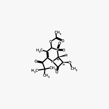 CO[C@H]1C(=O)N2C(C(=O)C(C)(C)C)=C(C)C(OC(C)=O)S(=O)(=O)[C@H]12